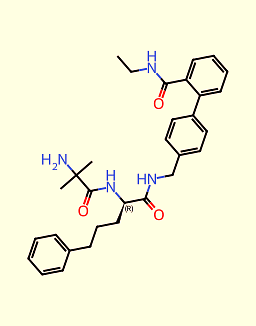 CCNC(=O)c1ccccc1-c1ccc(CNC(=O)[C@@H](CCCc2ccccc2)NC(=O)C(C)(C)N)cc1